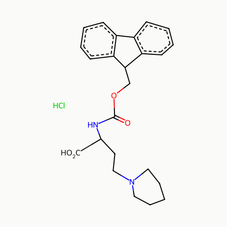 Cl.O=C(NC(CCN1CCCCC1)C(=O)O)OCC1c2ccccc2-c2ccccc21